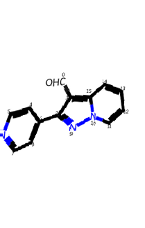 O=Cc1c(-c2ccncc2)nn2ccccc12